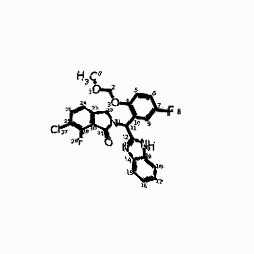 COCOc1ccc(F)cc1C(c1nc2ccccc2[nH]1)N1Cc2ccc(Cl)c(F)c2C1=O